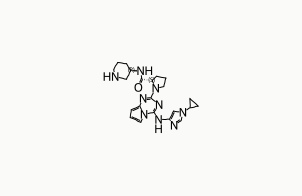 O=C(N[C@@H]1CCCNC1)[C@@H]1CCCN1c1nc(Nc2cn(C3CC3)cn2)n2cccc2n1